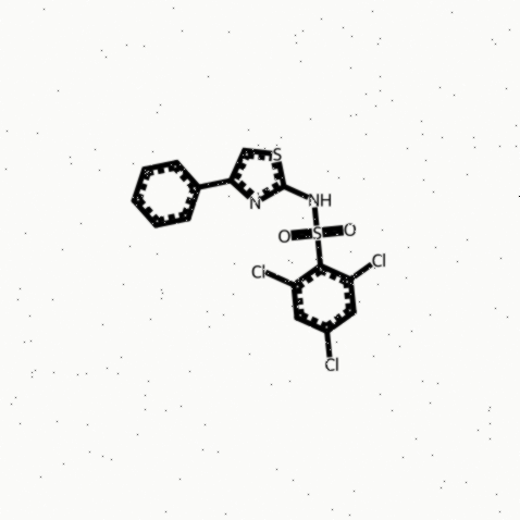 O=S(=O)(Nc1nc(-c2ccccc2)cs1)c1c(Cl)cc(Cl)cc1Cl